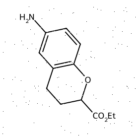 CCOC(=O)C1CCc2cc(N)ccc2O1